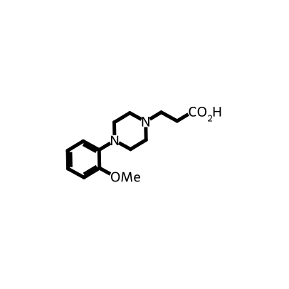 COc1ccccc1N1CCN(CCC(=O)O)CC1